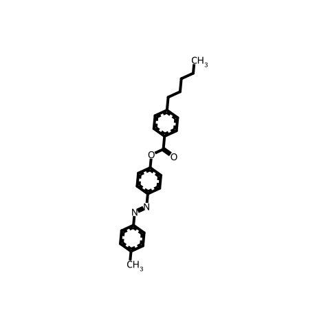 CCCCCc1ccc(C(=O)Oc2ccc(N=Nc3ccc(C)cc3)cc2)cc1